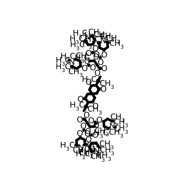 CCC(OC(=O)OC1CC(C)(C)N(C)C(C)(C)C1)C(OC(=O)OC1CC(C)(C)N(C)C(C)(C)C1)(OC(=O)OC1CC(C)(C)N(C)C(C)(C)C1)C(=O)OCC(C)(C)C1C(=O)CC2(CC1=O)CC(=O)C(C(C)(C)COC(=O)C(OC(=O)OC1CC(C)(C)N(C)C(C)(C)C1)(OC(=O)OC1CC(C)(C)N(C)C(C)(C)C1)C(CC)OC(=O)OC1CC(C)(C)N(C)C(C)(C)C1)C(=O)C2